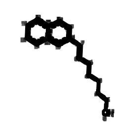 OCCCCCC=Cc1ccc2ccccc2c1